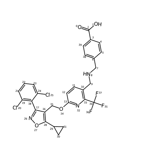 O=C(O)c1ccc(CNCc2ccc(OCc3c(-c4c(Cl)cccc4Cl)noc3C3CC3)nc2C(F)(F)F)cc1